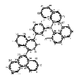 Cc1ccc2ccccc2c1B(c1cccc(-c2ccc(-c3cc4ccccc4c4ccccc34)c3ccccc23)c1)c1c(C)ccc2ccccc12